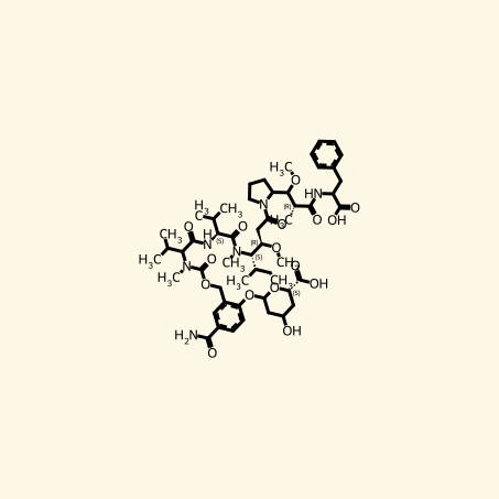 CCC(C)[C@@H]([C@@H](CC(=O)N1CCCC1C(OC)[C@@H](C)C(=O)NC(Cc1ccccc1)C(=O)O)OC)N(C)C(=O)[C@@H](NC(=O)C(C(C)C)N(C)C(=O)OCc1cc(C(N)=O)ccc1OC1CC(O)C[C@@H](C(=O)O)O1)C(C)C